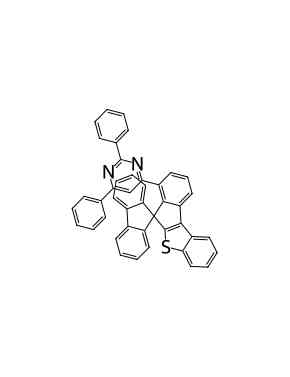 c1ccc(-c2cc(-c3cccc4c3C3(c5ccccc5-c5ccccc53)c3sc5ccccc5c3-4)nc(-c3ccccc3)n2)cc1